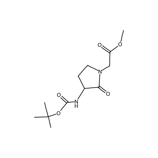 COC(=O)CN1CCC(NC(=O)OC(C)(C)C)C1=O